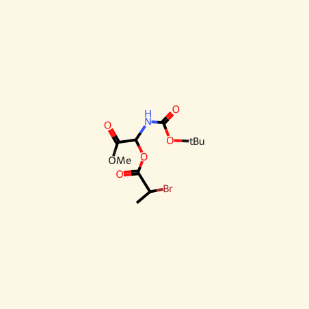 COC(=O)C(NC(=O)OC(C)(C)C)OC(=O)C(C)Br